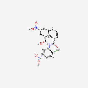 O=C1c2cccc3cc([N+](=O)[O-])cc(c23)C(=O)N1c1cc([N+](=O)[O-])ccc1F